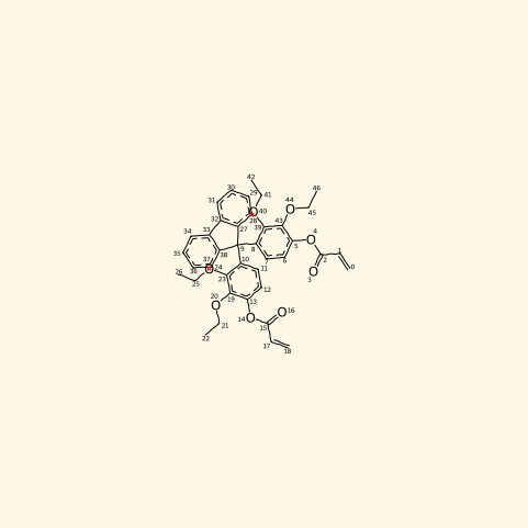 C=CC(=O)Oc1ccc(C2(c3ccc(OC(=O)C=C)c(OCC)c3OCC)c3ccccc3-c3ccccc32)c(OCC)c1OCC